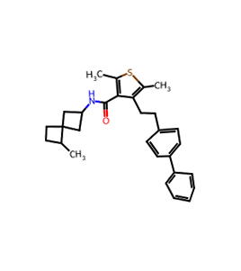 Cc1sc(C)c(C(=O)NC2CC3(CCC3C)C2)c1CCc1ccc(-c2ccccc2)cc1